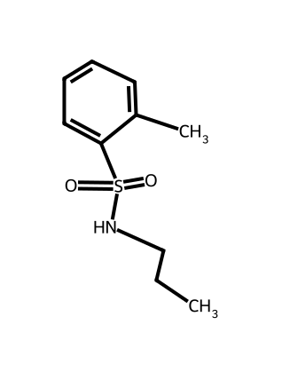 CCCNS(=O)(=O)c1ccccc1C